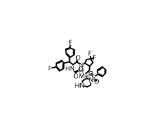 COC(=O)N[C@H](C(=O)NC1CC(F)(F)CC1CC[C@H]1CNCCN1S(=O)(=O)c1ccccc1)C(c1ccc(F)cc1)c1ccc(F)cc1